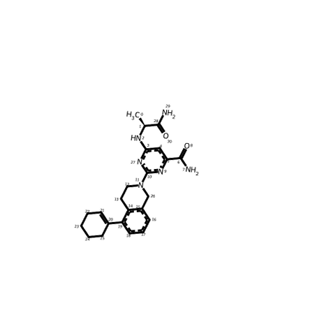 C[C@H](Nc1cc(C(N)=O)nc(N2CCc3c(cccc3C3=CCCCC3)C2)n1)C(N)=O